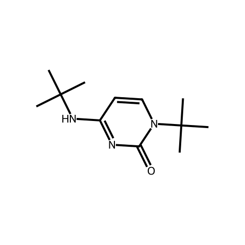 CC(C)(C)Nc1ccn(C(C)(C)C)c(=O)n1